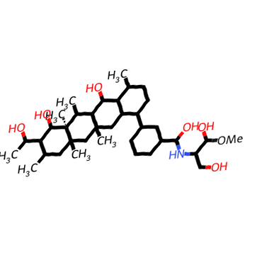 COC(O)C(CO)NC(O)C1CCCC(C2CCC(C)C3C(O)C4C(C)[C@]5(C)C(O)C(C(C)O)C(C)CC5(C)CC4(C)CC23)C1